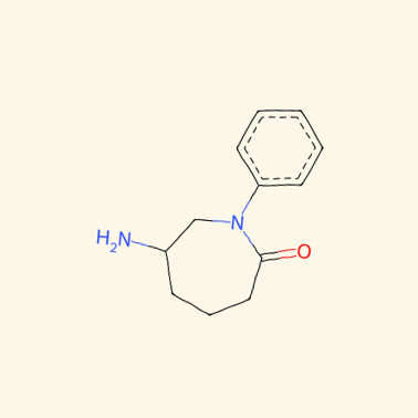 NC1CCCC(=O)N(c2ccccc2)C1